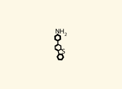 Nc1ccc(C2=CC=C3c4ccccc4SC3C2)cc1